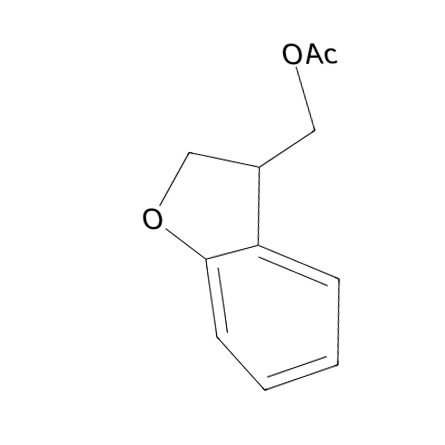 CC(=O)OCC1COc2ccccc21